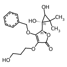 CC1(C)C(O)[C@]1(O)[C@H]1OC(=O)C(OCCCO)=C1OCc1ccccc1